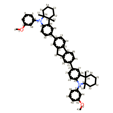 COc1cccc(N2c3ccc(-c4ccc5c(c4)Cc4cc(-c6ccc7c(c6)C6(C)CCCCC6(C)N7c6cccc(OC)c6)ccc4-5)cc3C3(C)CCCCC23C)c1